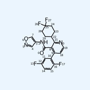 O=C(Nc1cnoc1)c1c(-c2cc(F)ccc2F)ccnc1C1CCC(F)(F)CC1